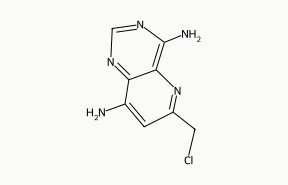 Nc1cc(CCl)nc2c(N)ncnc12